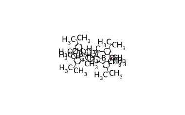 CC(C)c1cc2c(c(C(C)C)c1)B(c1c(C(C)C)cc(C(C)C)cc1C(C)C)c1c-2cc2ccc3c4c(cc5ccc1c2c53)-c1cc(C(C)C)cc(C(C)C)c1B4c1c(C(C)C)cc(C(C)C)cc1C(C)C